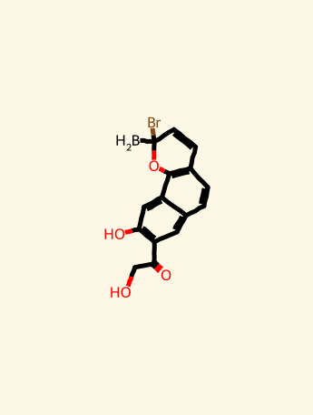 BC1(Br)C=Cc2ccc3cc(C(=O)CO)c(O)cc3c2O1